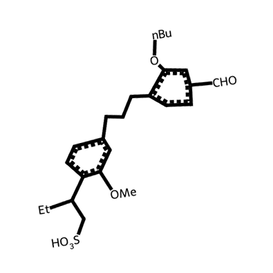 CCCCOc1cc(C=O)ccc1CCCc1ccc(C(CC)CS(=O)(=O)O)c(OC)c1